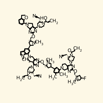 C=CC(=O)N1CCN(c2nc(OC[C@@H]3C[C@@H](F)CN3C)nc3c2CCN(c2cc(C4C[C@@H](COc5nc6c(c(N7CCN(C(=O)C=C)[C@@H](CC#N)C7)n5)CCN(c5cc(C7C[C@@H](COc8nc9c(c(N%10CCN(C(O)C=C)[C@@H](CC#N)C%10)n8)CCN(c8cccc%10c8OCC%10)C9)N(C)C7)cc7ccn(C)c57)C6)N(C)C4)cc(C)c2C)C3)C[C@@H]1CC#N